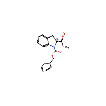 CNC(=O)[C@@H]1Cc2ccccc2N1C(=O)OCc1ccccc1